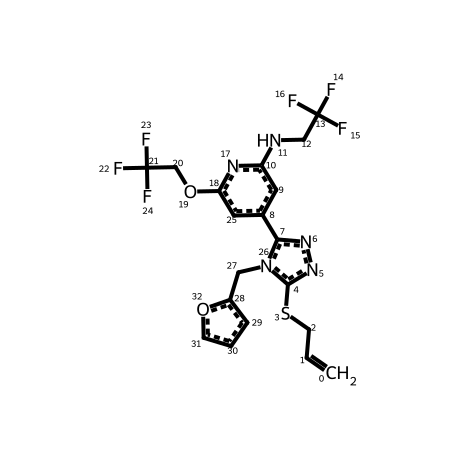 C=CCSc1nnc(-c2cc(NCC(F)(F)F)nc(OCC(F)(F)F)c2)n1Cc1ccco1